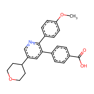 COc1ccc(-c2ncc(C3CCOCC3)cc2-c2ccc(C(=O)O)cc2)cc1